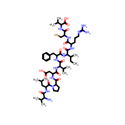 CCC(C)C(NC(=O)C(Cc1ccccc1)NC(=O)C(NC(=O)C(CC(=O)O)NC(=O)C1CCCN1C(=O)C(CC(C)C)NC(=O)C(N)C(C)C)C(C)C)C(=O)NC(CCCN=C(N)N)C(=O)NC(CS)C(=O)NC(C(=O)O)C(C)C